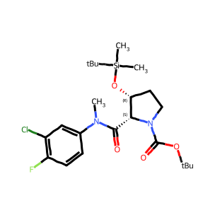 CN(C(=O)[C@@H]1[C@H](O[Si](C)(C)C(C)(C)C)CCN1C(=O)OC(C)(C)C)c1ccc(F)c(Cl)c1